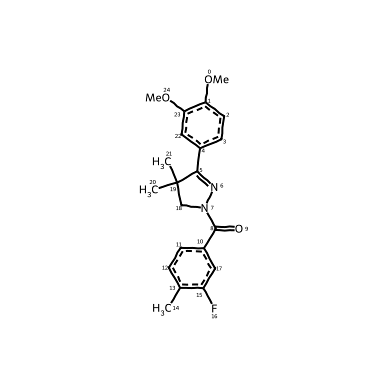 COc1ccc(C2=NN(C(=O)c3ccc(C)c(F)c3)CC2(C)C)cc1OC